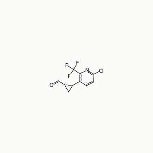 O=CC1CC1c1ccc(Cl)nc1C(F)(F)F